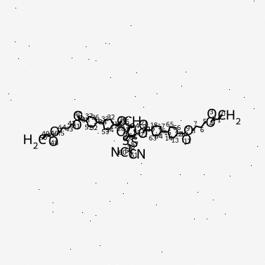 C=CC(=O)OCCCCOC(=O)C1CCC(C2CCC(C(=O)Oc3cc(C)c(OC(=O)C4CCC(C5CCC(C(=O)OCCCCOC(=O)C=C)CC5)CC4)c4c3SC(C(C#N)C#N)S4)CC2)CC1